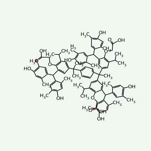 Cc1cc(C(c2cc(C)c(O)cc2C)c2cc(C(C)(C)c3ccc(C(C)(c4cc(C(C)C)c(OCC(=O)O)c(C(c5cc(C)c(O)cc5C)c5cc(C)c(O)cc5C)c4)c4cc(C(C)C)c(OCC(=O)O)c(C(c5cc(C)c(O)cc5C)c5cc(C)c(O)cc5C)c4)cc3)cc(C(C)C)c2OCC(=O)O)c(C)cc1O